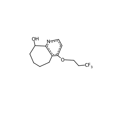 OC1CCCCc2c(OCCC(F)(F)F)ccnc21